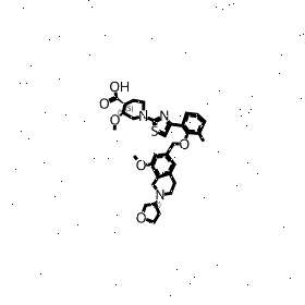 COc1cc(COc2c(C)cccc2-c2csc(N3CC[C@H](C(=O)O)[C@H](OC)C3)n2)cc2c1CN([C@@H]1CCOC1)CC2